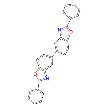 c1ccc(-c2nc3cc(-c4ccc5oc(-c6ccccc6)nc5c4)ccc3o2)cc1